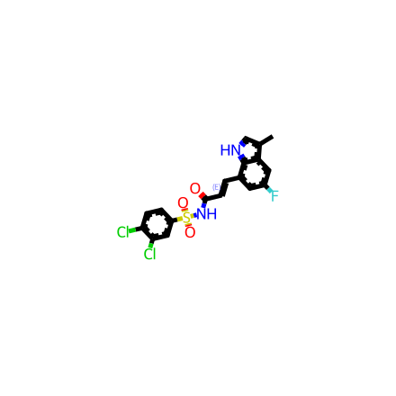 Cc1c[nH]c2c(/C=C/C(=O)NS(=O)(=O)c3ccc(Cl)c(Cl)c3)cc(F)cc12